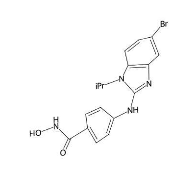 CC(C)n1c(Nc2ccc(C(=O)NO)cc2)nc2cc(Br)ccc21